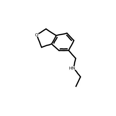 CCNCc1ccc2c(c1)COC2